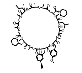 C#Cc1cccc(C[C@@H]2NC(=O)CN(C)C(=O)[C@H](CC3CCCCC3)N(C)C(=O)CN(C)C(=O)CN(C)C(=O)[C@H]([C@@H](C)CC)NC(=O)[C@H](C)CN(C)C(=O)C[C@@H](C(=O)N3CCCCC3)N(C)C(=O)C(CC(C)C)NC(=O)C(C)(C)N(C)C(=O)C(Cc3ccc(OC)cc3)NC2=O)c1